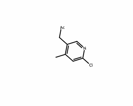 CC(=O)Cc1cnc(Cl)cc1C